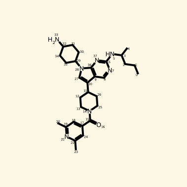 CCCC(C)Nc1ncc2c(C3CCN(C(=O)c4cc(C)nc(C)c4)CC3)cn(C3CCC(N)CC3)c2n1